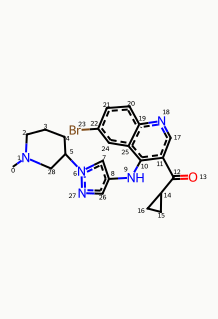 CN1CCCC(n2cc(Nc3c(C(=O)C4CC4)cnc4ccc(Br)cc34)cn2)C1